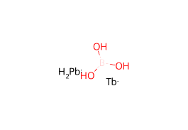 OB(O)O.[PbH2].[Tb]